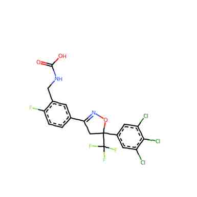 O=C(O)NCc1cc(C2=NOC(c3cc(Cl)c(Cl)c(Cl)c3)(C(F)(F)F)C2)ccc1F